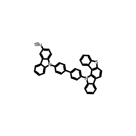 CC(C)(C)c1ccc2c(c1)c1ccccc1n2-c1ccc(-c2ccc(-n3c4ccccc4c4ccc5sc6ccccc6c5c43)cc2)cc1